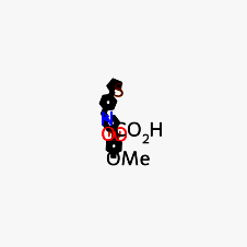 COc1ccc(S(=O)(=O)C2(C(=O)O)CCN(Cc3ccc(-c4cccs4)cc3)CC2)cc1